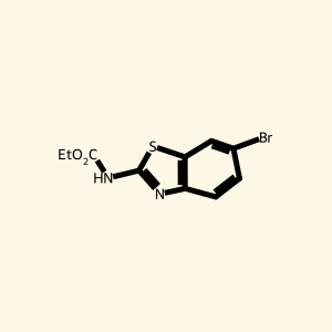 CCOC(=O)Nc1nc2ccc(Br)cc2s1